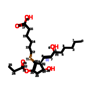 CCCCC[C@H](O)/C=C/[C@@H]1C(SCCCCCC(=O)O)=C(OC(=O)CC)C[C@H]1O